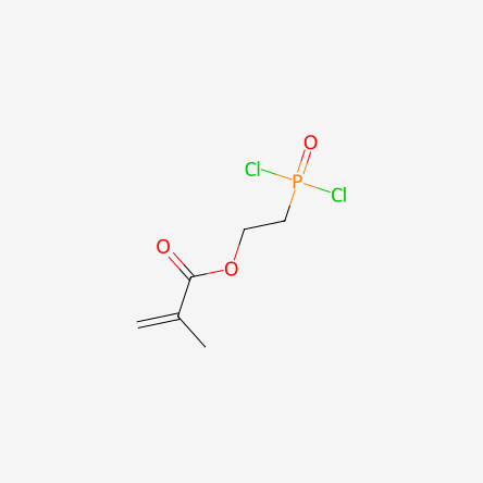 C=C(C)C(=O)OCCP(=O)(Cl)Cl